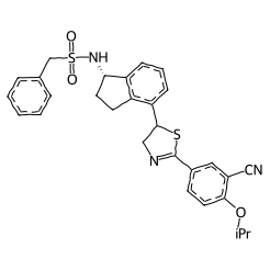 CC(C)Oc1ccc(C2=NCC(c3cccc4c3CC[C@@H]4NS(=O)(=O)Cc3ccccc3)S2)cc1C#N